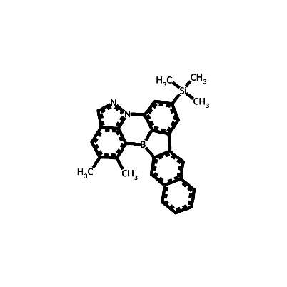 Cc1cc2cnn3c2c(c1C)B1c2cc4ccccc4cc2-c2cc([Si](C)(C)C)cc-3c21